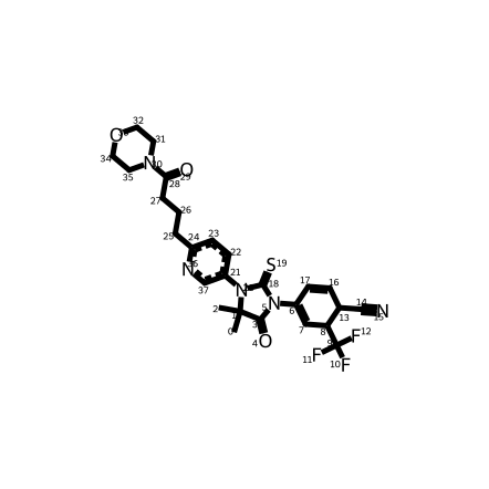 CC1(C)C(=O)N(C2=CC(C(F)(F)F)C(C#N)C=C2)C(=S)N1c1ccc(CCCC(=O)N2CCOCC2)nc1